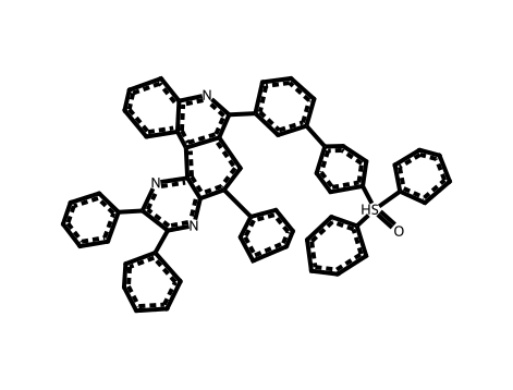 O=[SH](c1ccccc1)(c1ccccc1)c1ccc(-c2cccc(-c3nc4ccccc4c4c3cc(-c3ccccc3)c3nc(-c5ccccc5)c(-c5ccccc5)nc34)c2)cc1